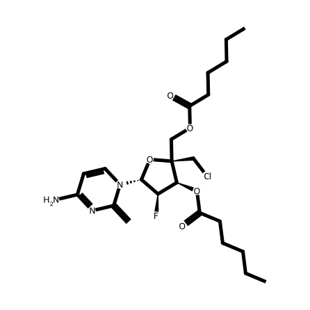 C=C1N=C(N)C=CN1[C@@H]1O[C@](CCl)(COC(=O)CCCCC)[C@@H](OC(=O)CCCCC)[C@H]1F